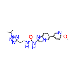 COc1ccc(-c2ccc3nc(NC(=O)NCCc4nnn(C(C)C)n4)cn3c2)cn1